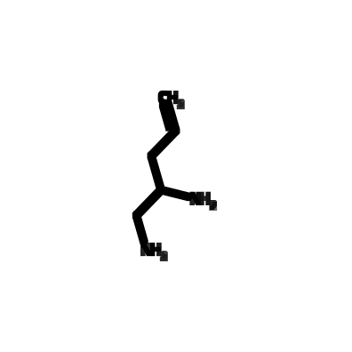 C=CCC(N)CN